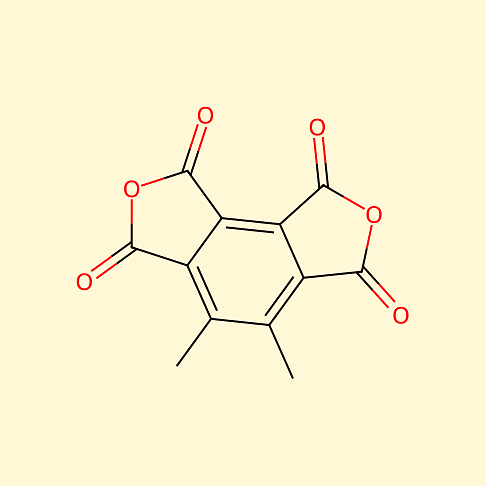 Cc1c(C)c2c(=O)oc(=O)c2c2c(=O)oc(=O)c12